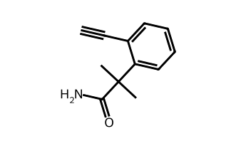 C#Cc1ccccc1C(C)(C)C(N)=O